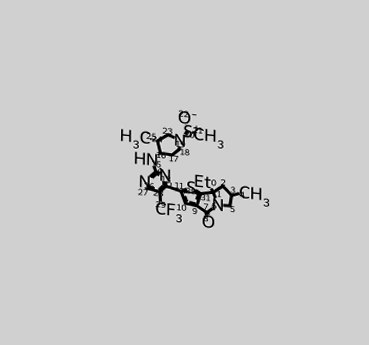 CCC12CC(C)CN1C(=O)c1cc(-c3nc(N[C@H]4CCN([S+](C)[O-])C[C@H]4C)ncc3C(F)(F)F)sc12